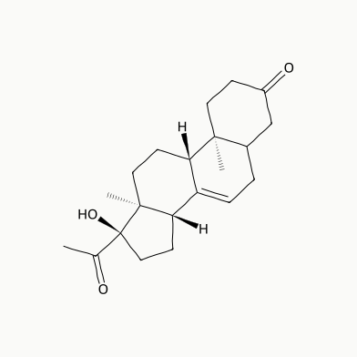 CC(=O)[C@@]1(O)CC[C@H]2C3=CCC4CC(=O)CC[C@]4(C)[C@H]3CC[C@@]21C